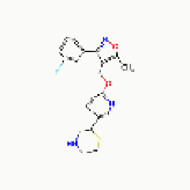 Cc1onc(-c2cccc(F)c2)c1COc1ccc(C2CNCCS2)cn1